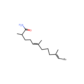 CCCC/C=C(\C)CCC/C(C)=C/CCC(C)C(N)=O